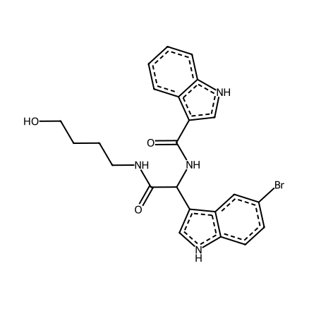 O=C(NC(C(=O)NCCCCO)c1c[nH]c2ccc(Br)cc12)c1c[nH]c2ccccc12